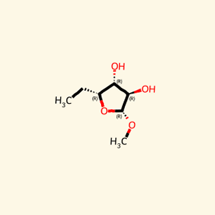 CC[C@H]1O[C@@H](OC)[C@H](O)[C@H]1O